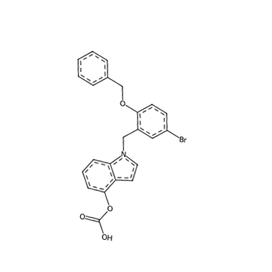 O=C(O)Oc1cccc2c1ccn2Cc1cc(Br)ccc1OCc1ccccc1